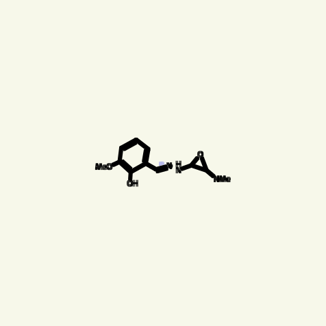 CNC1OC1N/N=C/c1cccc(OC)c1O